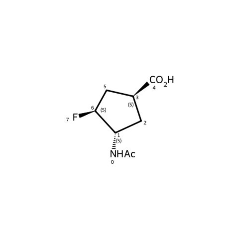 CC(=O)N[C@H]1C[C@H](C(=O)O)C[C@@H]1F